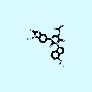 COc1cccc2c1CCC2n1c(=O)c(OC(=O)O)cn(-c2ccc3c(c2)sc(=O)n3C)c1=O